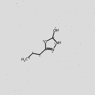 CCCC1=NNC(O)O1